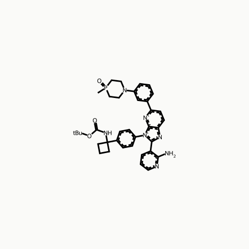 CC(C)(C)OC(=O)NC1(c2ccc(-n3c(-c4cccnc4N)nc4ccc(-c5cccc(N6CCP(C)(=O)CC6)c5)nc43)cc2)CCC1